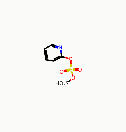 O=S(=O)(O)OS(=O)(=O)Oc1ccccn1